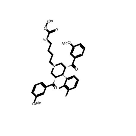 COc1cccc(C(=O)[C@H]2CN(CCCCNC(=O)OC(C)(C)C)C[C@@H](C(=O)c3cccc(OC)c3)[C@H]2c2cccc(F)c2C)c1